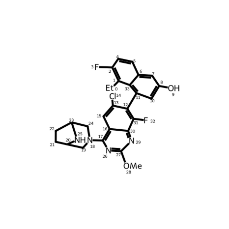 CCc1c(F)ccc2cc(O)cc(-c3c(Cl)cc4c(N5CC6CCC(C5)N6)nc(OC)nc4c3F)c12